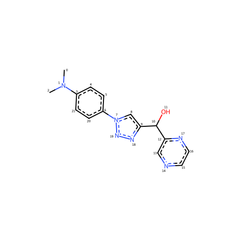 CN(C)c1ccc(-n2cc(C(O)c3cnccn3)nn2)cc1